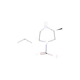 CCC[C@@H]1CN[C@@H](C)CN1C(=O)O